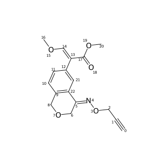 C#CCO/N=C1\COCc2ccc(/C(=C\OC)C(=O)OC)cc21